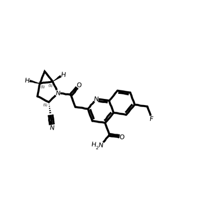 N#C[C@@H]1C[C@@H]2C[C@@H]2N1C(=O)Cc1cc(C(N)=O)c2cc(CF)ccc2n1